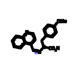 COc1ccc(CN(/N=C\c2ccnc3ccccc23)C(=O)O)cc1